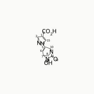 O=C(O)c1cnn(C2=CC3CN(C2)C(=O)N3O)c1